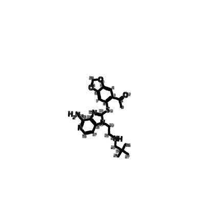 CC(=O)c1cc2c(cc1Sc1nc3c(N)nccc3n1CCNCC(C)(C)C)OCO2